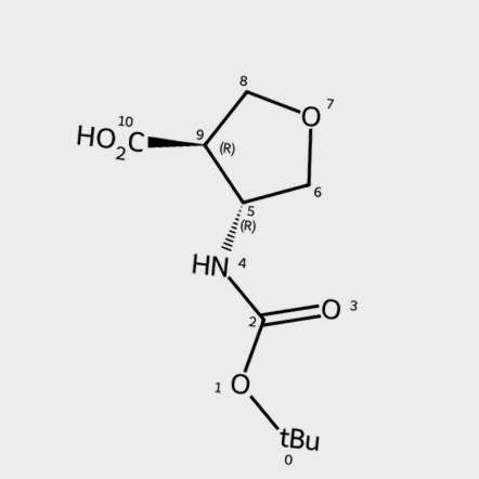 CC(C)(C)OC(=O)N[C@H]1COC[C@@H]1C(=O)O